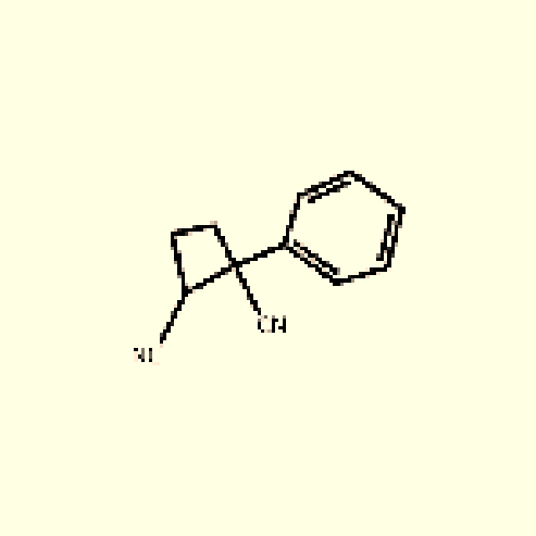 N#CC1CCC1(C#N)c1ccccc1